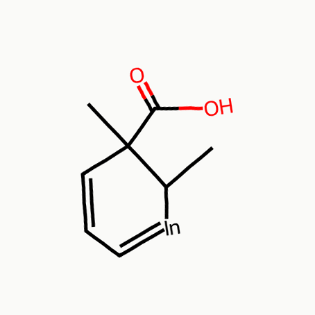 C[CH]1[In]=[CH]C=CC1(C)C(=O)O